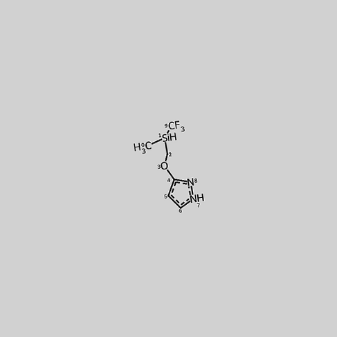 C[SiH](COc1cc[nH]n1)C(F)(F)F